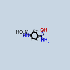 N/C(=N/O)C1CCC(NC(=O)O)CC1